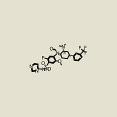 COc1cc(S(=O)(=O)Nc2ccncn2)c(F)cc1N(C=O)[C@H]1CC[C@H](c2cccc(C(F)(F)F)c2)C[C@@H]1N(C)C